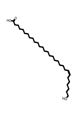 O=C(O)CCCCCCCCCCCCCCCCCCCCC/C=C\CCCCCCO